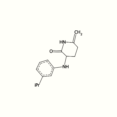 C=C1CCC(Nc2cccc(C(C)C)c2)C(=O)N1